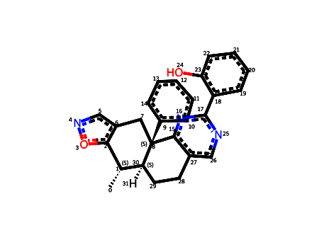 C[C@@H]1c2oncc2C[C@]2(c3ccccc3)c3nc(-c4ccccc4O)ncc3CC[C@@H]12